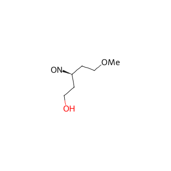 COCC[C@@H](CCO)N=O